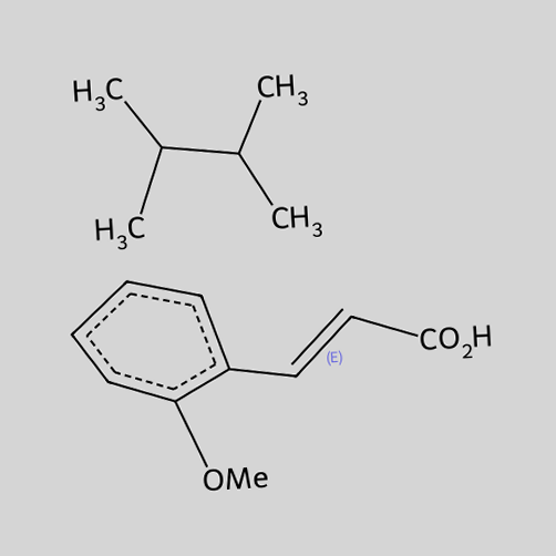 CC(C)C(C)C.COc1ccccc1/C=C/C(=O)O